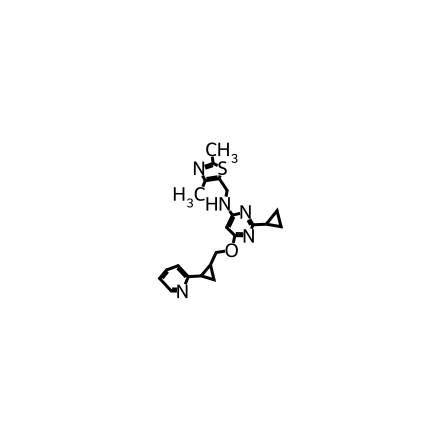 Cc1nc(C)c(CNc2cc(OCC3CC3c3ccccn3)nc(C3CC3)n2)s1